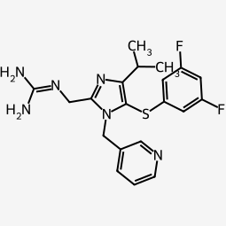 CC(C)c1nc(CN=C(N)N)n(Cc2cccnc2)c1Sc1cc(F)cc(F)c1